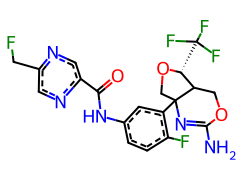 NC1=NC2(c3cc(NC(=O)c4cnc(CF)cn4)ccc3F)CO[C@H](C(F)(F)F)C2CO1